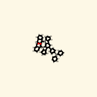 c1ccc(N(c2ccccc2)c2ccc(-c3cc4c5ccccc5n(-c5cccc6ccccc56)c4c4c3c3ccccc3n4-c3cccc4ccccc34)cc2)cc1